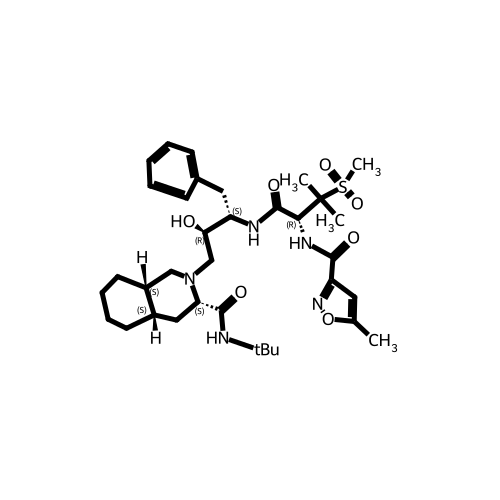 Cc1cc(C(=O)N[C@H](C(=O)N[C@@H](Cc2ccccc2)[C@H](O)CN2C[C@H]3CCCC[C@H]3C[C@H]2C(=O)NC(C)(C)C)C(C)(C)S(C)(=O)=O)no1